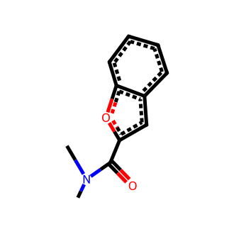 CN(C)C(=O)c1cc2ccccc2o1